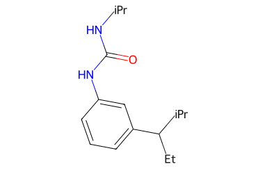 CCC(c1cccc(NC(=O)NC(C)C)c1)C(C)C